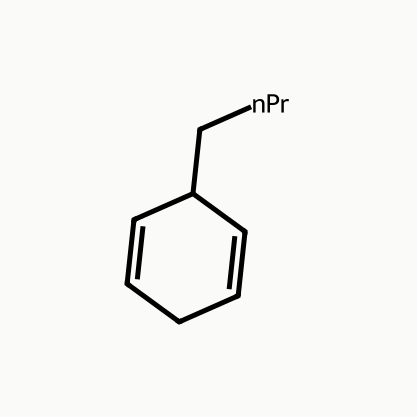 CCCCC1C=CCC=C1